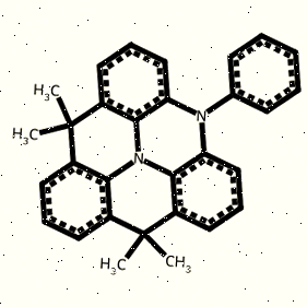 CC1(C)c2cccc3c2N2c4c(cccc4C(C)(C)c4cccc1c42)N3c1ccccc1